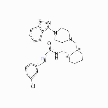 O=C(/C=C/c1cccc(Cl)c1)NC[C@H]1CCCC[C@H]1CN1CCN(c2nsc3ccccc23)CC1